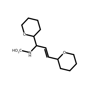 O=C(O)NC(/C=C/C1CCCCO1)C1CCCCO1